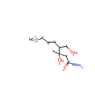 CC(O)(CC(N)=O)C(CO)CCCC(=O)O